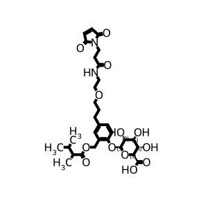 CC(C)C(C)C(=O)OCc1cc(CCCOCCNC(=O)CCN2C(=O)C=CC2=O)ccc1O[C@@H]1O[C@H](C(=O)O)[C@@H](O)[C@H](O)[C@H]1O